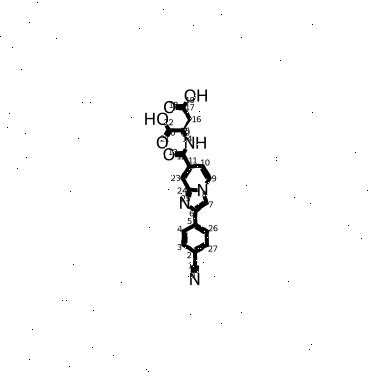 N#Cc1ccc(-c2cn3ccc(C(=O)N[C@H](CC(=O)O)C(=O)O)cc3n2)cc1